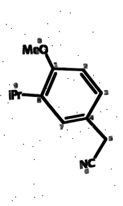 COc1ccc(CC#N)cc1C(C)C